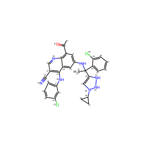 BC(Nc1cc(C(C)=O)c2ncc(C#N)c(Nc3cccc(Cl)c3)c2c1)(C1=CN(C2CC2)NN1)c1ccccc1Cl